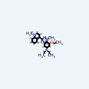 CCOc1cc(N(CC)CC)ccc1N(C)/N=C(\C)c1cc[n+](C)c2ccccc12